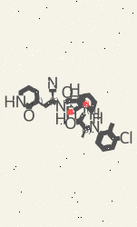 Cc1c(Cl)cccc1N[C@@H](C)C(=O)N1[C@H]2CC[C@@H]([C@H]1C(=O)N[C@H](C#N)C[C@@H]1CCCNC1=O)C(F)(F)C2